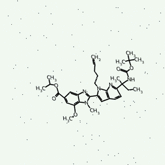 C=CCCCn1c(-c2nc3cc(C(=O)OC(C)C)cc(OC)c3n2C)cc2ccc(C(C)(CC)NC(=O)OC(C)(C)C)nc21